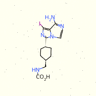 Nc1nccn2c1c(I)nc2[C@H]1CC[C@H](CNC(=O)O)CC1